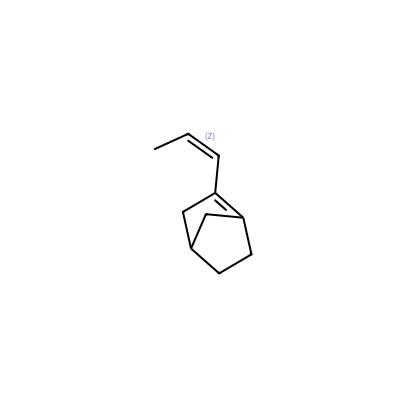 C/C=C\C1=C2CCC(C1)C2